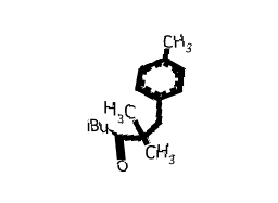 CC[C@H](C)C(=O)C(C)(C)Cc1ccc(C)cc1